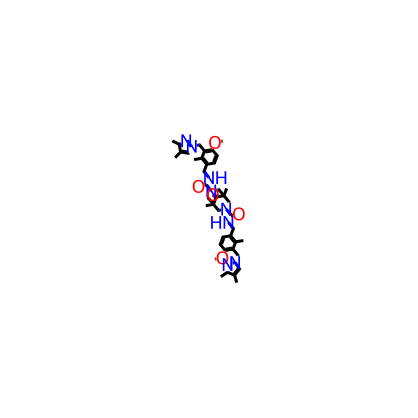 COc1ccc(CNC(=O)N2CC3(C)CN(C(=O)NCc4ccc(OC)c(Cn5cc(C)c(C)n5)c4C)CC(C)(C2)C3=O)c(C)c1Cn1cc(C)c(C)n1